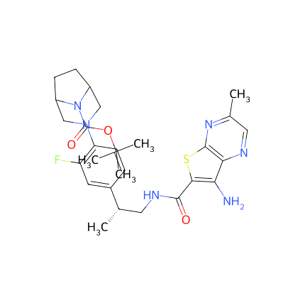 Cc1cnc2c(N)c(C(=O)NC[C@H](C)c3ccc(N4CC5CCC(C4)N5C(=O)OC(C)(C)C)c(F)c3)sc2n1